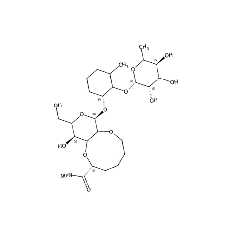 CNC(=O)[C@H]1CCCCOC2C(O1)[C@@H](O)C(CO)O[C@H]2O[C@@H]1CCCC(C)C1O[C@@H]1OC(C)[C@@H](O)C(O)[C@@H]1O